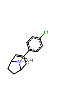 O=C(O)N1C2C=C(c3ccc(Cl)cc3)CC1CC2